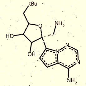 CC(C)(C)CC1O[C@@](CN)(c2ccc3c(N)ncnn23)C(O)C1O